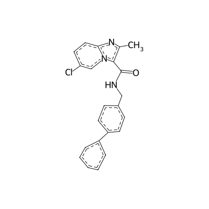 Cc1nc2ccc(Cl)cn2c1C(=O)NCc1ccc(-c2ccccc2)cc1